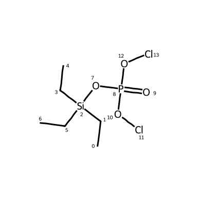 CC[Si](CC)(CC)OP(=O)(OCl)OCl